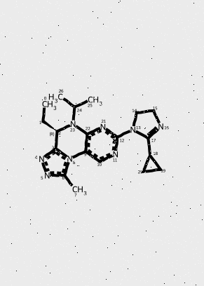 CC[C@@H]1c2nnc(C)n2-c2cnc(N3CCN=C3C3CC3)nc2N1C(C)C